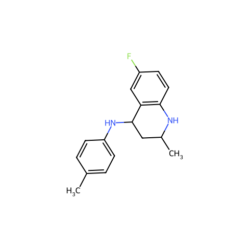 Cc1ccc(NC2CC(C)Nc3ccc(F)cc32)cc1